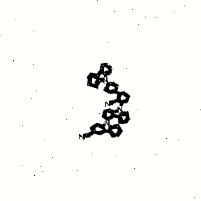 N#Cc1ccc2c(c1)c1ccccc1n2-c1cccc2c1c1ccccc1n2-c1cccc(-c2ccc(-n3c4ccccc4c4ccccc43)cc2)c1C#N